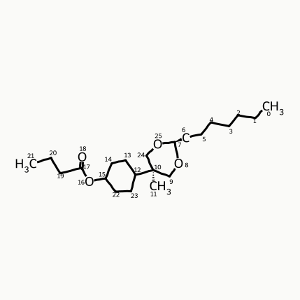 CCCCCCC[C@H]1OC[C@@](C)(C2CCC(OC(=O)CCC)CC2)CO1